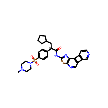 CN1CCN(S(=O)(=O)c2ccc([C@@H](CC3CCCC3)C(=O)Nc3nc4c5c(cnc4s3)-c3cnccc3-5)cc2)CC1